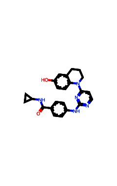 O=C(NC1CC1)c1ccc(Nc2nccc(N3CCCc4cc(O)ccc43)n2)cc1